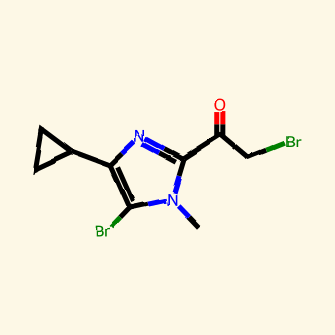 Cn1c(C(=O)CBr)nc(C2CC2)c1Br